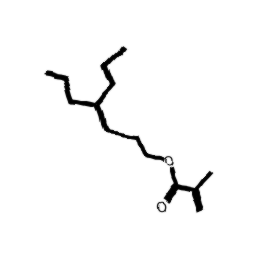 C=C(C)C(=O)OCCCC(CCC)CCC